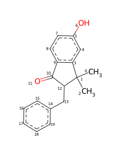 CC1(C)c2cc(O)ccc2C(=O)C1Cc1ccccc1